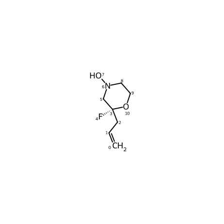 C=CC[C@@]1(F)CN(O)CCO1